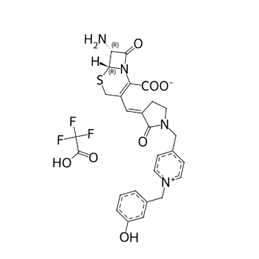 N[C@@H]1C(=O)N2C(C(=O)[O-])=C(C=C3CCN(Cc4cc[n+](Cc5cccc(O)c5)cc4)C3=O)CS[C@H]12.O=C(O)C(F)(F)F